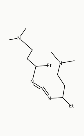 CCC(CCN(C)C)N=C=NC(CC)CCN(C)C